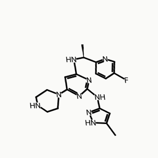 Cc1cc(Nc2nc(N[C@@H](C)c3ccc(F)cn3)cc(N3CCNCC3)n2)n[nH]1